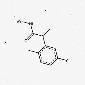 CCCNC(=O)N(C)c1cc(Cl)ccc1C